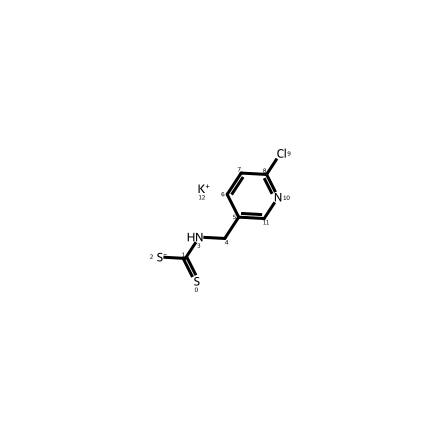 S=C([S-])NCc1ccc(Cl)nc1.[K+]